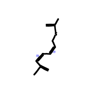 C=C(C)/C=C\C=C/CSC(=C)C